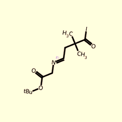 CC(C)(C)OC(=O)C/N=C/CC(C)(C)C(=O)I